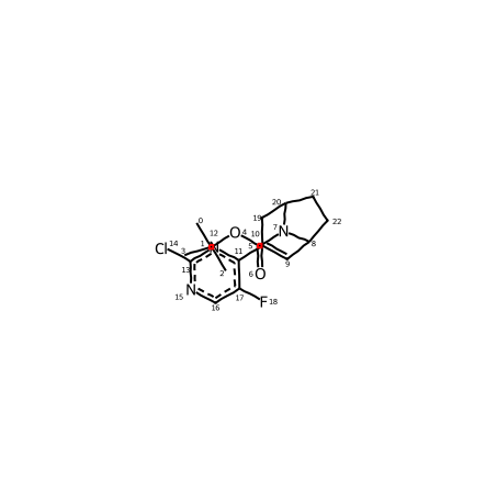 CC(C)(C)OC(=O)N1C2C=C(c3nc(Cl)ncc3F)CC1CC2